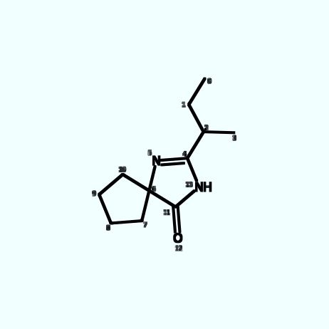 CCC(C)C1=NC2(CCCC2)C(=O)N1